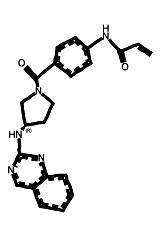 C=CC(=O)Nc1ccc(C(=O)N2CC[C@@H](Nc3ncc4ccccc4n3)C2)cc1